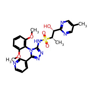 COc1cccc(OC)c1-n1c(NS(=O)(=O)[C@@H](C)[C@H](O)c2ncc(C)cn2)nnc1-c1cccnc1